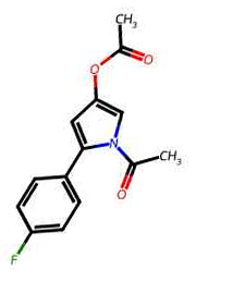 CC(=O)Oc1cc(-c2ccc(F)cc2)n(C(C)=O)c1